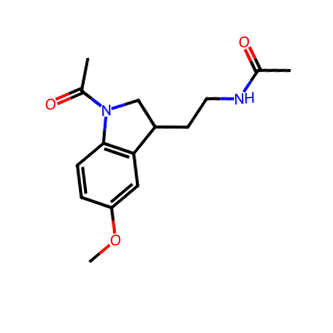 COc1ccc2c(c1)C(CCNC(C)=O)CN2C(C)=O